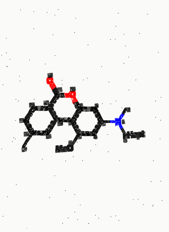 CCCCCCCN(C)c1cc(OC)c2c(c1)oc(=O)c1ccc(C)cc12